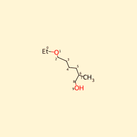 CCOCCCCC(C)CO